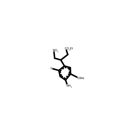 CCOC(=O)CC(C[N+](=O)[O-])c1cc(OC)c(N)cc1F